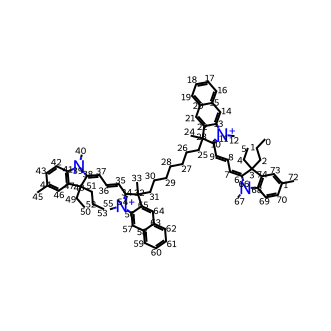 CCCC1(CC)C(=CC=CC2=[N+](C)c3cc4ccccc4cc3C2(C)CCCCCCCC2(C)C(C=CC=C3N(C)c4ccc(C)cc4C3(CC)CCC)=[N+](C)c3cc4ccccc4cc32)N(C)c2ccc(C)cc21